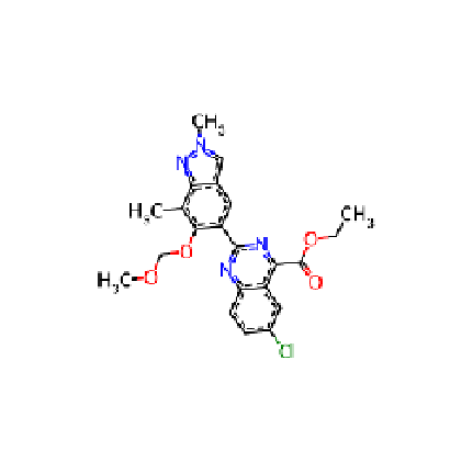 CCOC(=O)c1nc(-c2cc3cn(C)nc3c(C)c2OCOC)nc2ccc(Cl)cc12